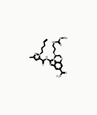 C=CCCCn1nc(C)cc1C(=O)Nc1nc2cc(C(N)=O)cc3c2n1[C@@H](CCCNC(=O)OC(C)(C)C)CO3